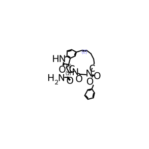 NC(=O)[C@@H]1C[C@]23CN1C(=O)CN(C(=O)OCc1ccccc1)CCCC/C=C\c1ccc(c2c1)NC3=O